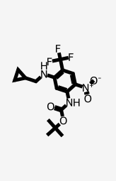 CC(C)(C)OC(=O)Nc1cc(NCC2CC2)c(C(F)(F)F)cc1[N+](=O)[O-]